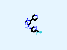 FC(F)(F)c1ccc(Nc2cc(-c3ccncc3)ncn2)cn1